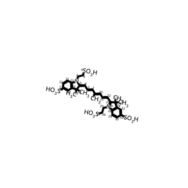 CC(/C=C/C=C1/N(CCS(=O)(=O)O)c2ccc(S(=O)(=O)O)cc2C1(C)C)=C\C=C\C1=[N+](CCS(=O)(=O)O)c2ccc(S(=O)(=O)O)cc2C1(C)C